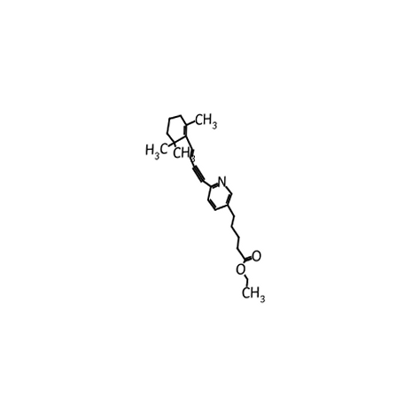 CCOC(=O)CCCCc1ccc(C#C/C=C/C2=C(C)CCCC2(C)C)nc1